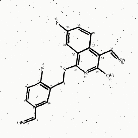 N=Cc1ccc(F)c(CSc2nc(O)c(C=N)c3ccc(F)cc23)c1